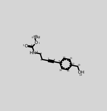 CC(C)(C)OC(=O)NCCC#Cc1ccc(CO)cc1